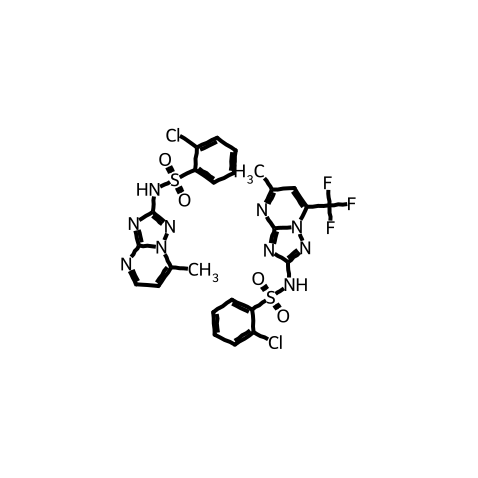 Cc1cc(C(F)(F)F)n2nc(NS(=O)(=O)c3ccccc3Cl)nc2n1.Cc1ccnc2nc(NS(=O)(=O)c3ccccc3Cl)nn12